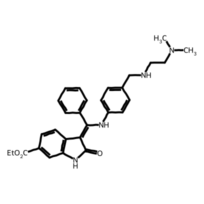 CCOC(=O)c1ccc2c(c1)NC(=O)/C2=C(\Nc1ccc(CNCCN(C)C)cc1)c1ccccc1